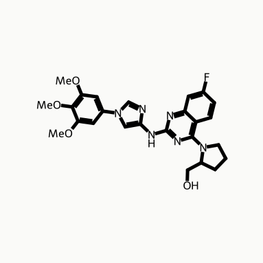 COc1cc(-n2cnc(Nc3nc(N4CCCC4CO)c4ccc(F)cc4n3)c2)cc(OC)c1OC